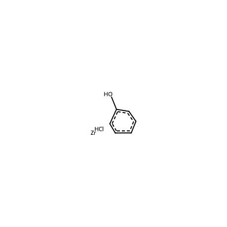 Cl.Oc1ccccc1.[Zr]